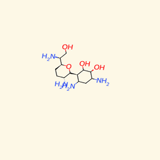 NC1CC(N)[C@@H](C2O[C@H]([C@@H](N)CO)CC[C@H]2N)C(O)[C@H]1O